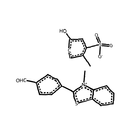 C[n+]1c(-c2ccc(C=O)cc2)sc2ccccc21.Cc1ccc(O)cc1S(=O)(=O)[O-]